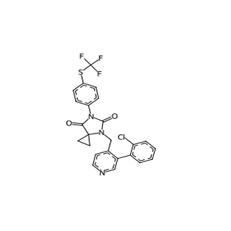 O=C1N(c2ccc(SC(F)(F)F)cc2)C(=O)C2(CC2)N1Cc1ccncc1-c1ccccc1Cl